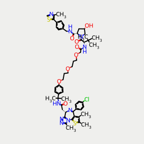 Cc1ncsc1-c1ccc(CNC(=O)[C@@H]2C[C@@H](O)CN2C(=O)[C@@H](NC(=O)COCCCOCCCOc2ccc(C(C)(C)NC(=O)C[C@@H]3N=C(c4ccc(Cl)cc4)c4c(sc(C)c4C)-n4c(C)nnc43)cc2)C(C)(C)C)cc1